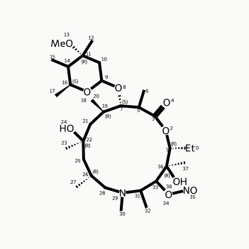 CC[C@H]1OC(=O)C(C)[C@@H](OC2C[C@@](C)(OC)C(C)[C@H](C)O2)[C@H](C)C[C@](C)(O)C[C@@H](C)CN(C)C(C)C(ON=O)[C@]1(C)O